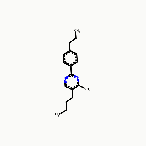 CCCCc1cnc(-c2ccc(CCC)cc2)nc1C